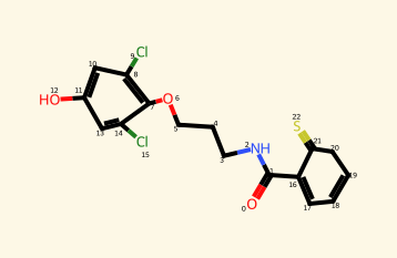 O=C(NCCCOc1c(Cl)cc(O)cc1Cl)C1=CC=CCC1=S